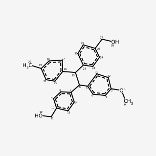 COc1ccc(C(c2ccc(CO)cc2)C(c2ccc(C)cc2)c2ccc(CO)cc2)cc1